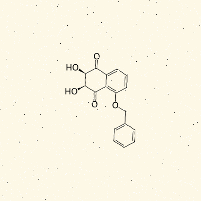 O=C1c2c(OCc3ccccc3)cccc2C(=O)[C@H](O)[C@@H]1O